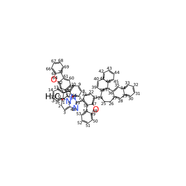 CC1C/C=C(n2c3ccccc3c3ccccc32)/N=C(c2ccc(C3CCc4cc5ccccc5cc4-c4c3ccc3ccccc43)c3oc4ccccc4c23)\N=C/1c1ccc2c(c1)oc1ccccc12